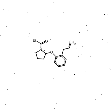 C=CCc1ccccc1OC1CCCN1C(=O)CC